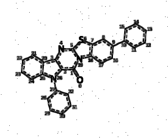 O=c1c2c(nc3sc4cc(-c5ccccc5)ccc4n13)c1ccccc1n2-c1ccccc1